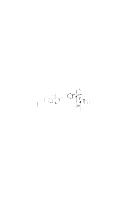 CCC(F)(CC)CN1CCC(COc2ccc(C3=CC=CCC3(F)C(=O)N3C[C@H](O)C[C@H]3C(N)=O)cc2)CC1